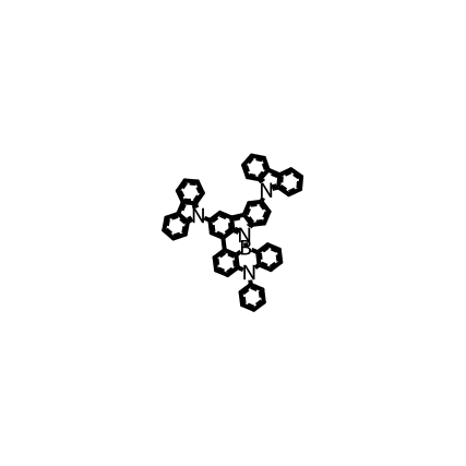 c1ccc(N2c3ccccc3B3c4c(cccc42)-c2cc(-n4c5ccccc5c5ccccc54)cc4c5cc(-n6c7ccccc7c7ccccc76)ccc5n3c24)cc1